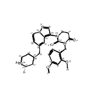 COc1ccc(CN2C(=O)CCN(c3cnn4ccc(C[C@@H]5CCN[C@@H](C)C5)cc34)C2=O)c(OC)c1